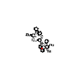 CC(C)(C)c1cc(Oc2ccc3c4ccccc4n(-c4cc(C(C)(C)C)ccn4)c3c2)cc(N2CN(c3c(-c4ccccc4)c(C(C)(C)C)cc(C(C)(C)C)c3-c3ccccc3)c3ccccc32)c1